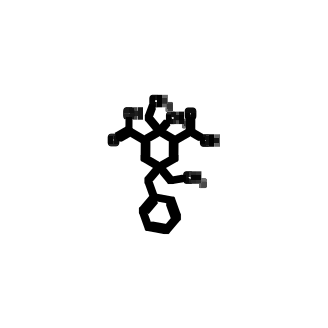 CCC1(Cc2ccccc2)C=C(C(=O)O)C(C)(CC)C(C(=O)O)=C1